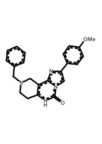 COc1ccc(-c2cn3c(=O)[nH]c4c(c3n2)CN(Cc2ccccc2)CC4)cc1